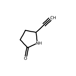 C#CC1CCC(=O)N1